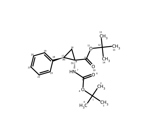 CC(C)(C)OC(=O)N[C@@]1(C(=O)OC(C)(C)C)C[C@@H]1c1ccccc1